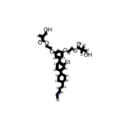 C=C(CO)C(=O)OCCOc1cc(OCCOC(=O)C(C)(C)CO)cc(-c2ccc(C3CCC(CC/C=C/C)CC3)cc2CC)c1